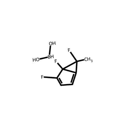 CC1(F)C2=CC=C(F)C21F.OBO